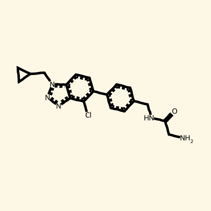 NCC(=O)NCc1ccc(-c2ccc3c(nnn3CC3CC3)c2Cl)cc1